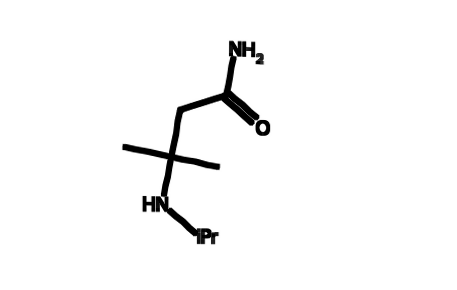 CC(C)NC(C)(C)CC(N)=O